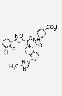 Cc1ncn(-c2cccc3c2CCN(C(=O)C2CC(c4cccc(Cl)c4F)=NO2)[C@@H]3C(=O)Nc2ccc(C(=O)O)cc2)n1